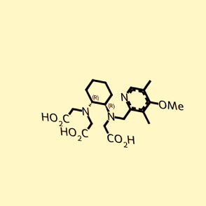 COc1c(C)cnc(CN(CC(=O)O)[C@@H]2CCCC[C@H]2N(CC(=O)O)CC(=O)O)c1C